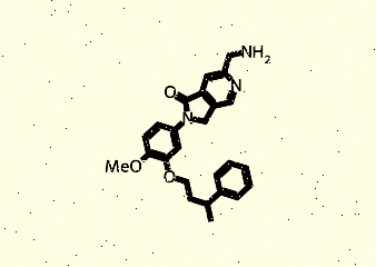 COc1ccc(N2Cc3cnc(CN)cc3C2=O)cc1OCCC(C)c1ccccc1